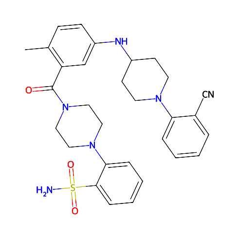 Cc1ccc(NC2CCN(c3ccccc3C#N)CC2)cc1C(=O)N1CCN(c2ccccc2S(N)(=O)=O)CC1